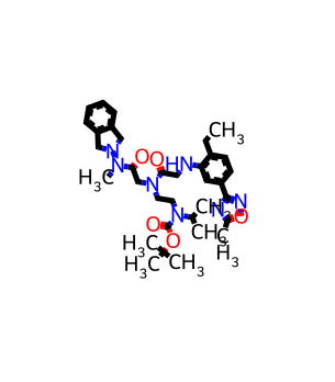 CCc1ccc(-c2noc(C)n2)cc1NCC(=O)N(CCN(C(=O)OC(C)(C)C)C(C)C)CC(=O)N(C)N1Cc2ccccc2C1